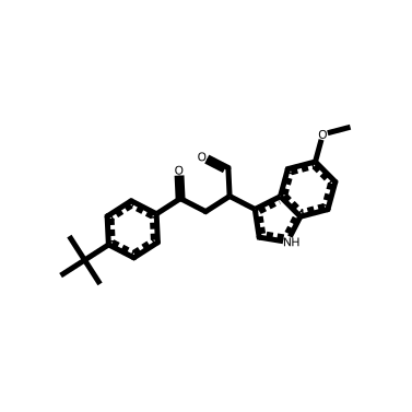 COc1ccc2[nH]cc(C(C=O)CC(=O)c3ccc(C(C)(C)C)cc3)c2c1